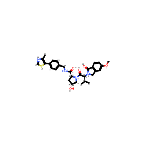 COc1ccc2c(c1)CN([C@H](C(=O)N1C[C@H](O)C[C@H]1C(=O)NCc1ccc(-c3scnc3C)cc1)C(C)C)C2=O